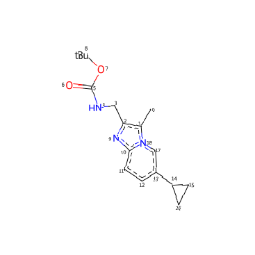 Cc1c(CNC(=O)OC(C)(C)C)nc2ccc(C3CC3)cn12